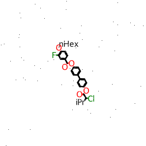 CCCCCCOc1ccc(C(=O)Oc2ccc(-c3ccc(OC(=O)C(Cl)C(C)C)cc3)cc2)cc1F